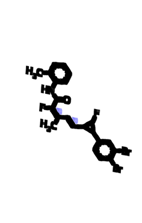 CC(/C=C/C1C(F)C1c1ccc(Br)c(Br)c1)=C(\F)C(=O)Nc1ccccc1C